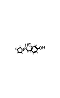 Oc1ccc(C=NN2CCCC2)c(O)c1